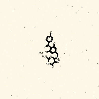 C/C(N)=N\c1c(C(N)=O)nnn1Cc1cc(Cl)c(C(=O)c2ccc(Cl)cc2)c(Cl)c1.Cl